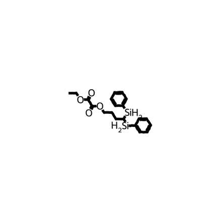 CCOC(=O)C(=O)OCCCC([SiH2]c1ccccc1)[SiH2]c1ccccc1